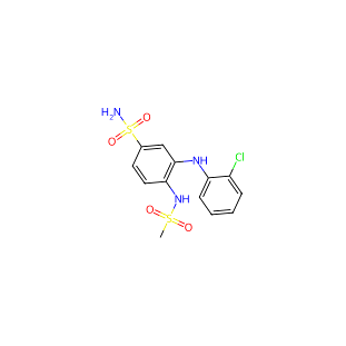 CS(=O)(=O)Nc1ccc(S(N)(=O)=O)cc1Nc1ccccc1Cl